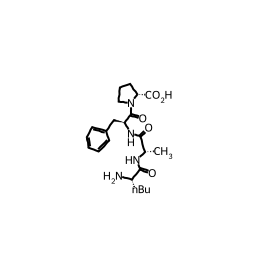 CCCC[C@H](N)C(=O)N[C@@H](C)C(=O)N[C@@H](Cc1ccccc1)C(=O)N1CCC[C@@H]1C(=O)O